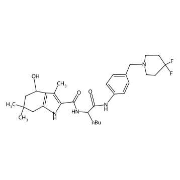 CCCCC(NC(=O)c1[nH]c2c(c1C)C(O)CC(C)(C)C2)C(=O)Nc1ccc(CN2CCC(F)(F)CC2)cc1